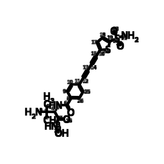 CC(C)(N)[C@H](NC(=O)c1ccc(C#CC#Cc2ccc(S(N)(=O)=O)s2)cc1)C(=O)NO